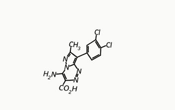 Cc1nn2c(N)c(C(=O)O)nnc2c1-c1ccc(Cl)c(Cl)c1